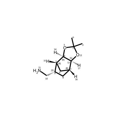 CC1(C)O[C@@H]2[C@@H]3C[C@@H](C[C@@H]3CN)[C@@H]2O1